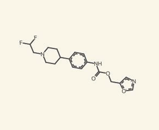 O=C(Nc1ccc(C2CCN(CC(F)F)CC2)cc1)OCc1cnco1